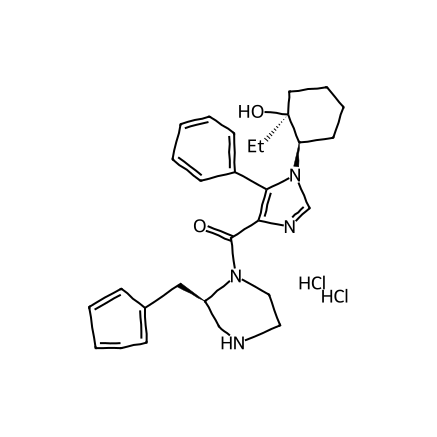 CC[C@]1(O)CCCC[C@H]1n1cnc(C(=O)N2CCNC[C@H]2Cc2ccccc2)c1-c1ccccc1.Cl.Cl